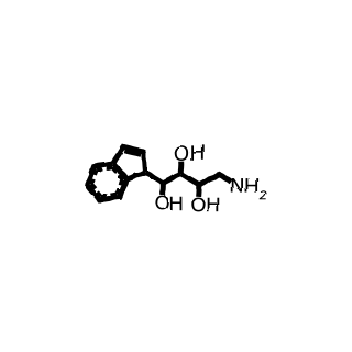 NCC(O)C(O)C(O)C1C=Cc2ccccc21